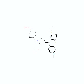 CSc1ccc2c(c1)C(=C1CCN(CC3CCC(O)CC3)CC1)c1ccc(F)cc1S2.O